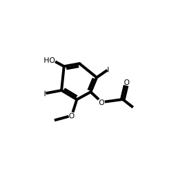 COc1c(I)c(O)cc(I)c1OC(C)=O